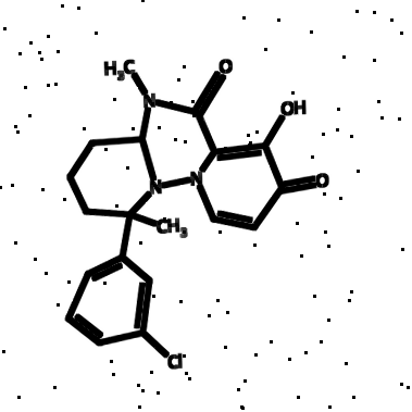 CN1C(=O)c2c(O)c(=O)ccn2N2C1CCCC2(C)c1cccc(Cl)c1